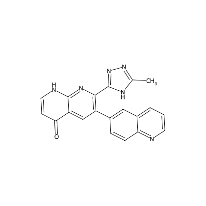 Cc1nnc(-c2nc3[nH]ccc(=O)c3cc2-c2ccc3ncccc3c2)[nH]1